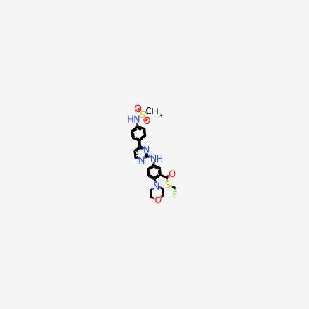 CS(=O)(=O)Nc1ccc(-c2ccnc(Nc3ccc(N4CCOCC4)c(C(=O)SCF)c3)n2)cc1